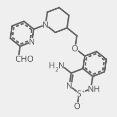 NC1=N[S+]([O-])Nc2cccc(OCC3CCCN(c4cccc(C=O)n4)C3)c21